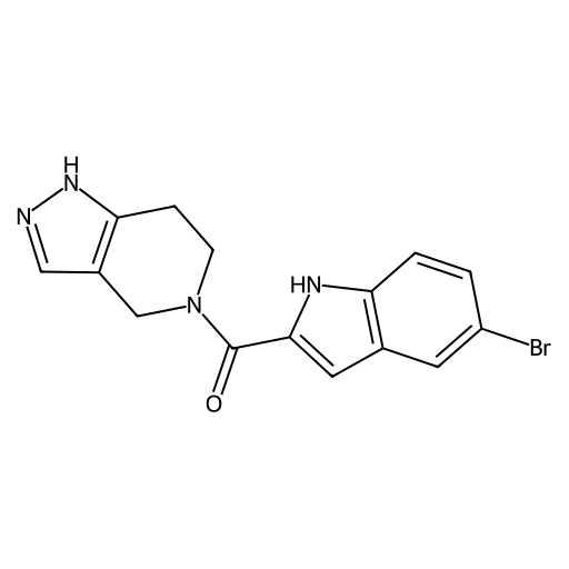 O=C(c1cc2cc(Br)ccc2[nH]1)N1CCc2[nH]ncc2C1